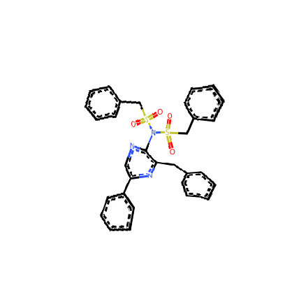 O=S(=O)(Cc1ccccc1)N(c1ncc(-c2ccccc2)nc1Cc1ccccc1)S(=O)(=O)Cc1ccccc1